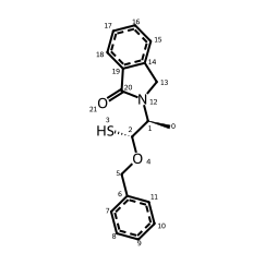 C[C@@H]([C@@H](S)OCc1ccccc1)N1Cc2ccccc2C1=O